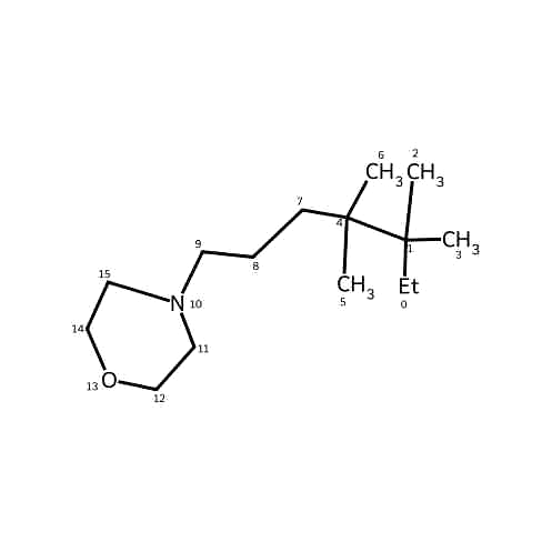 CCC(C)(C)C(C)(C)CCCN1CCOCC1